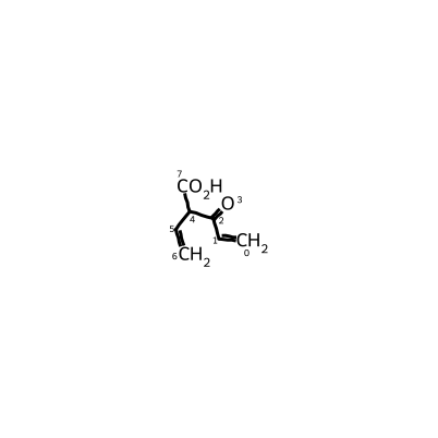 C=CC(=O)C(C=C)C(=O)O